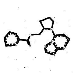 O=C(OCC1CCCN1c1ccnc2ncnn12)c1ccccn1